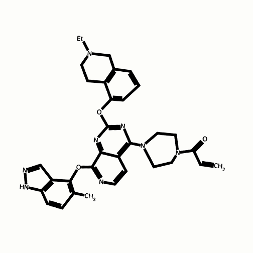 C=CC(=O)N1CCN(c2nc(Oc3cccc4c3CCN(CC)C4)nc3c(Oc4c(C)ccc5[nH]ncc45)nccc23)CC1